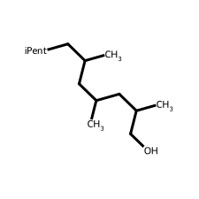 CCCC(C)CC(C)CC(C)CC(C)CO